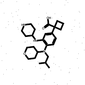 CC(C)CN(c1ccc(C2(C(=O)O)CCC2)cc1NC1CCNCC1)C1CCOCC1